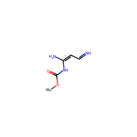 CC(C)(C)OC(=O)N/C(N)=C\C=N